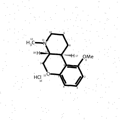 COc1cccc2c1[C@@H]1CCCN(C)[C@H]1CO2.Cl